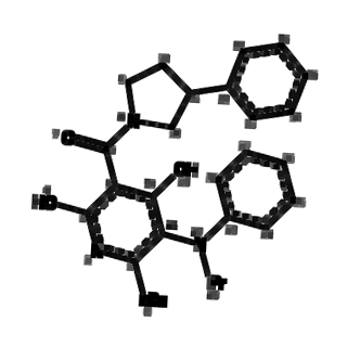 CCCCc1nc(O)c(C(=O)N2CCC(c3ccccc3)C2)c(O)c1N(c1ccccc1)C(C)C